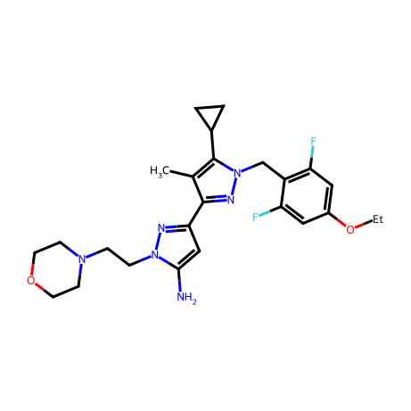 CCOc1cc(F)c(Cn2nc(-c3cc(N)n(CCN4CCOCC4)n3)c(C)c2C2CC2)c(F)c1